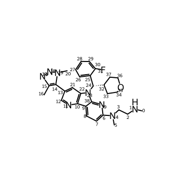 CNCCN(C)c1ccc2c3ncc(-c4c(C)nnn4C)cc3n([C@H](c3ccccc3F)C3CCOCC3)c2n1